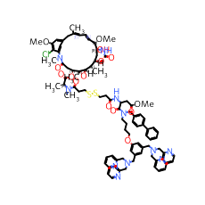 COC(=O)CC(NC(=O)CCSSCCC(=O)N(C)[C@H](C)C(=O)O[C@@H]1CC(=O)N(C)c2cc(cc(OC)c2Cl)C/C(C)=C/C=C/[C@H](OC)[C@]2(O)C[C@@H](OC(=O)N2)[C@H](C)[C@H]2O[C@@]21C)C(=O)N(CCCCOc1cc(CN(Cc2ccccn2)Cc2ccccn2)cc(CN(Cc2ccccn2)Cc2ccccn2)c1)Cc1ccc(-c2ccccc2)cc1